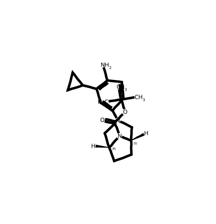 CC(C)(C)OC(=O)N1[C@@H]2CC[C@H]1CN(c1ccc(N)c(C3CC3)c1)C2